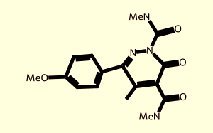 CNC(=O)c1c(C)c(-c2ccc(OC)cc2)nn(C(=O)NC)c1=O